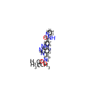 CC(C)(C)OC(=O)N1CCC(c2ccc(-c3ccc(C(=O)Nc4ccccn4)cc3)c3c(N)ncnc23)C1